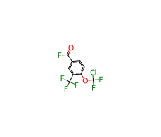 O=C(F)c1ccc(OC(F)(F)Cl)c(C(F)(F)F)c1